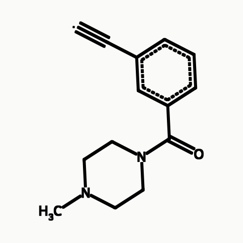 [C]#Cc1cccc(C(=O)N2CCN(C)CC2)c1